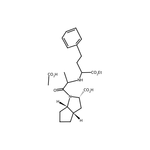 CC(=O)O.CCOC(=O)C(CCc1ccccc1)NC(C)C(=O)N1[C@H](C(=O)O)C[C@@H]2CCC[C@@H]21